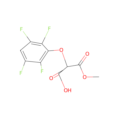 COC(=O)C(Oc1c(F)c(F)cc(F)c1F)C(=O)O